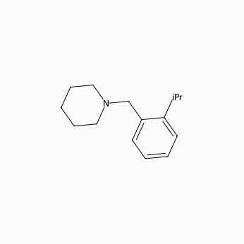 CC(C)c1ccccc1CN1CCCCC1